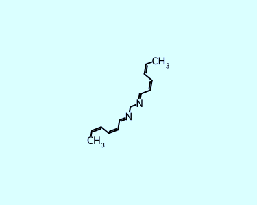 C\C=C/C=C\C=N\C/N=C/C=C\C=C/C